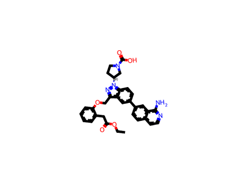 CCOC(=O)Cc1ccccc1OCc1nn([C@@H]2CCN(C(=O)O)C2)c2ccc(-c3ccc4ccnc(N)c4c3)cc12